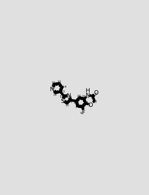 O=C1COc2c(F)cc(-c3csc(-c4cccnc4)n3)cc2N1